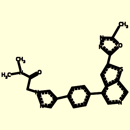 Cc1nnc(-c2cc3c(-c4ccc(-c5cnn(CC(=O)N(C)C)c5)cc4)cncc3s2)o1